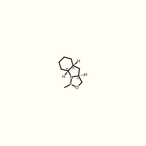 CP1OC[C@@H]2C[C@H]3CCCC[C@H]3N21